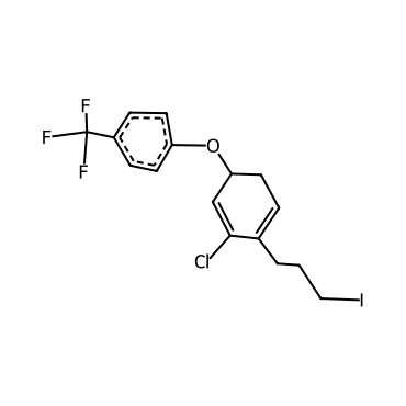 FC(F)(F)c1ccc(OC2C=C(Cl)C(CCCI)=CC2)cc1